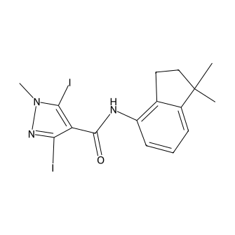 Cn1nc(I)c(C(=O)Nc2cccc3c2CCC3(C)C)c1I